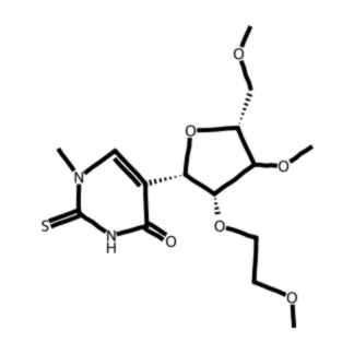 COCCO[C@H]1C(OC)[C@@H](COC)O[C@H]1c1cn(C)c(=S)[nH]c1=O